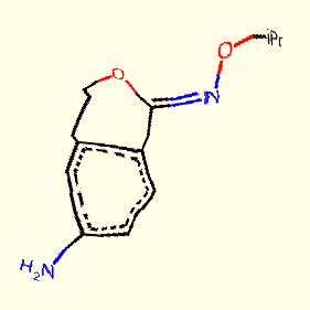 CC(C)O/N=C1\OCc2cc(N)ccc21